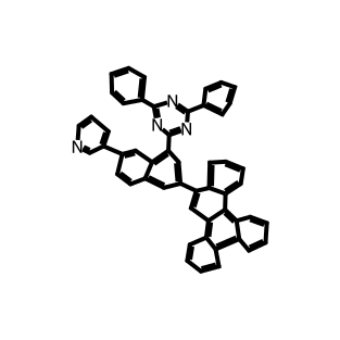 c1ccc(-c2nc(-c3ccccc3)nc(-c3cc(-c4cc5c6ccccc6c6ccccc6c5c5ccccc45)cc4ccc(-c5cccnc5)cc34)n2)cc1